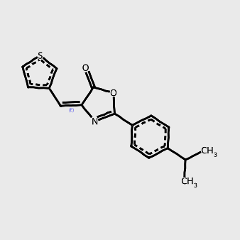 CC(C)c1ccc(C2=N/C(=C/c3ccsc3)C(=O)O2)cc1